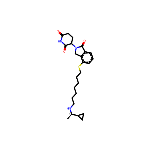 C[C@@H](NCCCCCCCSc1cccc2c1CN(C1CCC(=O)NC1=O)C2=O)C1CC1